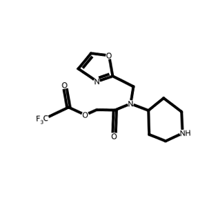 O=C(COC(=O)C(F)(F)F)N(Cc1ncco1)C1CCNCC1